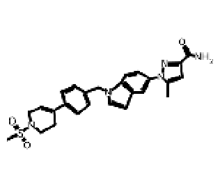 Cc1cc(C(N)=O)nn1-c1ccc2c(ccn2Cc2ccc(C3=CCN(S(C)(=O)=O)CC3)cc2)c1